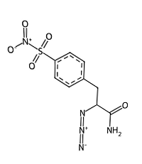 [N-]=[N+]=NC(Cc1ccc(S(=O)(=O)[N+](=O)[O-])cc1)C(N)=O